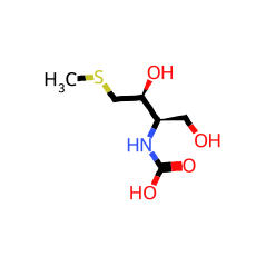 CSC[C@@H](O)[C@@H](CO)NC(=O)O